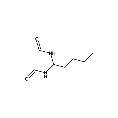 CCCCC(NC=O)NC=O